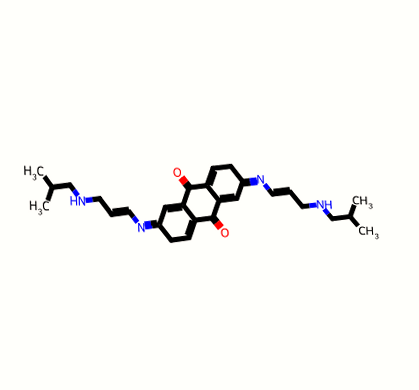 CC(C)CNCC=CN=C1C=C2C(=O)C3=CCC(=NC=CCNCC(C)C)C=C3C(=O)C2=CC1